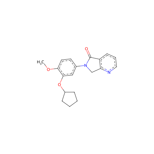 COc1ccc(N2Cc3ncccc3C2=O)cc1OC1CCCC1